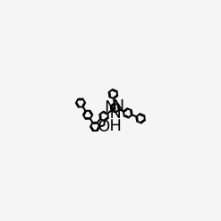 c1ccc(C2=NC(c3ccc4c(c3)oc3cccc(-c5ccc(-c6ccccc6)cc5)c34)NC(c3ccc(-c4ccccc4)cc3)=N2)cc1